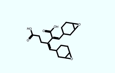 O=C(O)CCC(=CC1CCC2OC2C1)C(=CC1CCC2OC2C1)C(=O)O